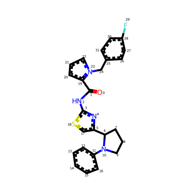 O=C(Nc1nc(C2CCCN2c2ccccc2)cs1)c1cccn1Cc1ccc(F)cc1